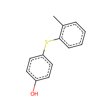 Cc1ccccc1Sc1ccc(O)cc1